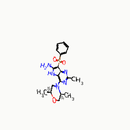 Cc1nc(N2C[C@H](C)OC[C@@H]2C)c2[nH]c(N)c(S(=O)(=O)c3ccccc3)c2n1